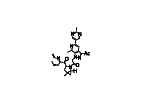 C=C/N=C(\C=C/C)C(=O)[C@@H]1C[C@@]2(C)C[C@H]2N1C(=O)Cn1nc(C(C)=O)c2cc(-c3cnc(C)nc3)nc(C)c21